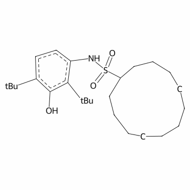 CC(C)(C)c1ccc(NS(=O)(=O)C2CCCCCCCCCCC2)c(C(C)(C)C)c1O